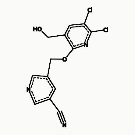 N#Cc1cncc(COc2nc(Cl)c(Cl)cc2CO)c1